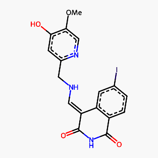 COc1cnc(CN/C=C2/C(=O)NC(=O)c3ccc(I)cc32)cc1O